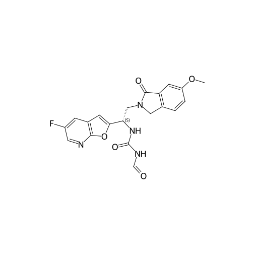 COc1ccc2c(c1)C(=O)N(C[C@H](NC(=O)NC=O)c1cc3cc(F)cnc3o1)C2